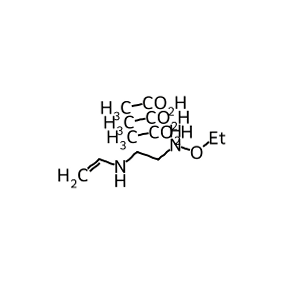 C=CNCCNOCC.CC(=O)O.CC(=O)O.CC(=O)O